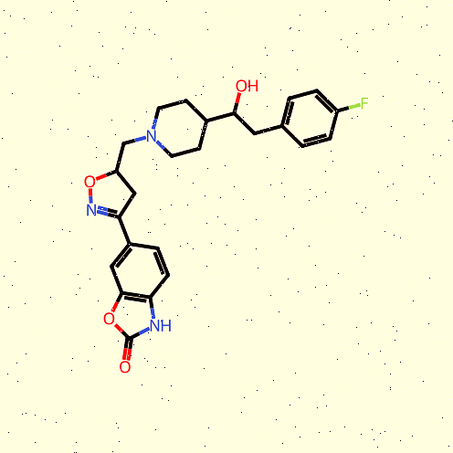 O=c1[nH]c2ccc(C3=NOC(CN4CCC(C(O)Cc5ccc(F)cc5)CC4)C3)cc2o1